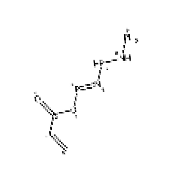 C=CC(=O)OP=NPNP